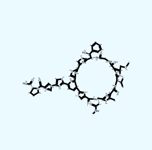 CNC(=O)C[C@@H]1NC(=O)c2csc(n2)-c2ccc(-c3nc(-n4cnc(C(=O)N5CCC[C@@H]5C(=O)O)c4)cs3)nc2-c2csc(n2)-c2csc(n2)[C@H]([C@@H](O)c2ccccc2)NC(=O)CNC(=O)c2nc(sc2COC)[C@@H](C(C)C)NC(=O)c2nc1sc2C